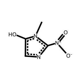 Cn1c(O)cnc1[N+](=O)[O-]